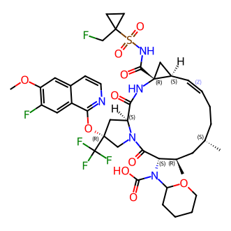 COc1cc2ccnc(O[C@]3(C(F)(F)F)C[C@H]4C(=O)N[C@]5(C(=O)NS(=O)(=O)C6(CF)CC6)C[C@H]5/C=C\CC[C@H](C)C[C@@H](C)[C@H](N(C(=O)O)C5CCCCO5)C(=O)N4C3)c2cc1F